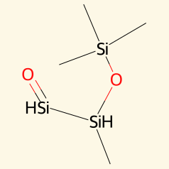 C[SiH](O[Si](C)(C)C)[SiH]=O